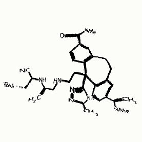 C=C(CNCCC1(c2nnc(C)[nH]2)c2ccc(C(=C)NC)cc2CCc2cc(C(=O)NC)ccc21)NC(C#N)C[C@@H](C)CC